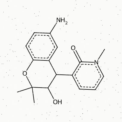 Cn1cccc(C2c3cc(N)ccc3OC(C)(C)C2O)c1=O